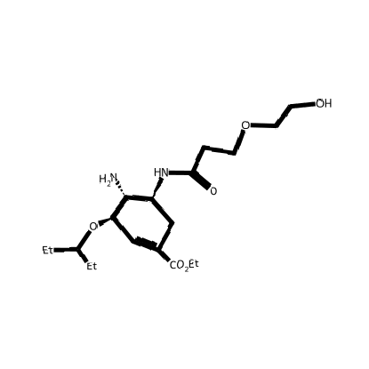 CCOC(=O)C1=C[C@@H](OC(CC)CC)[C@H](N)[C@@H](NC(=O)CCOCCO)C1